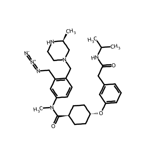 CC(C)NC(=O)Cc1cccc(O[C@H]2CC[C@H](C(=O)N(C)c3ccc(CN4CCN[C@@H](C)C4)c(CN=[N+]=[N-])c3)CC2)c1